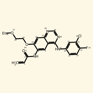 C=CC(=O)Nc1cc2c(Nc3ccc(F)c(Cl)c3)ncnc2cc1OCCOCC